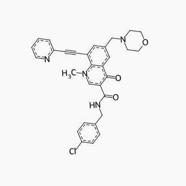 Cn1cc(C(=O)NCc2ccc(Cl)cc2)c(=O)c2cc(CN3CCOCC3)cc(C#Cc3ccccn3)c21